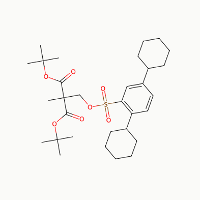 CC(C)(C)OC(=O)C(C)(COS(=O)(=O)c1cc(C2CCCCC2)ccc1C1CCCCC1)C(=O)OC(C)(C)C